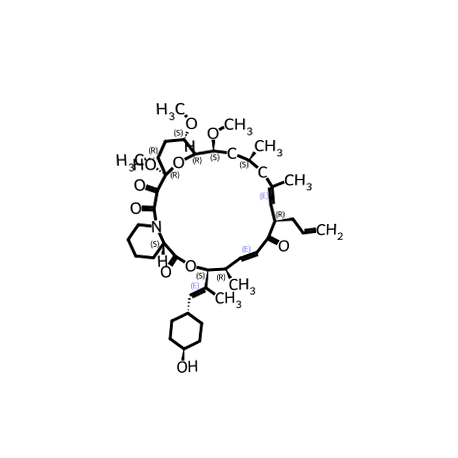 C=CC[C@@H]1/C=C(\C)C[C@H](C)C[C@H](OC)[C@H]2O[C@@](O)(C(=O)C(=O)N3CCCC[C@H]3C(=O)O[C@H](/C(C)=C/[C@H]3CC[C@H](O)CC3)[C@H](C)/C=C/C1=O)[C@H](C)C[C@@H]2OC